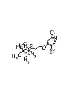 CC(C)(C)[Si](C)(C)OCCOc1cc(Cl)ncc1Br